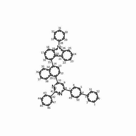 c1ccc(-c2ccc(-c3cc(-c4ccc(-c5cccc6c5c5ccccc5n6-c5ccccc5)c5ccccc45)nc(-c4ccccc4)n3)cc2)cc1